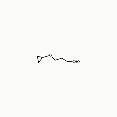 O=CCCCOC1CC1